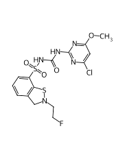 COc1cc(Cl)nc(NC(=O)NS(=O)(=O)c2cccc3c2SN(CCF)C3)n1